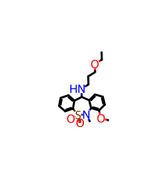 CCOCCCNC1c2ccccc2S(=O)(=O)N(C)c2c(OC)cccc21